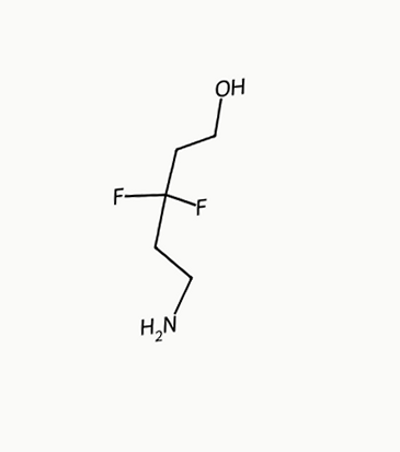 NCCC(F)(F)CCO